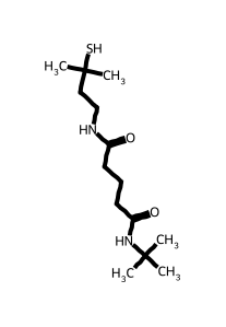 CC(C)(S)CCNC(=O)CCCC(=O)NC(C)(C)C